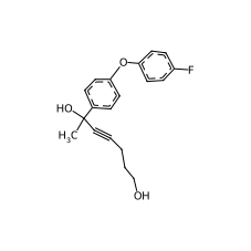 CC(O)(C#CCCCO)c1ccc(Oc2ccc(F)cc2)cc1